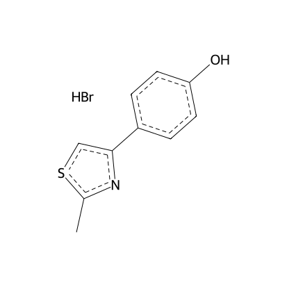 Br.Cc1nc(-c2ccc(O)cc2)cs1